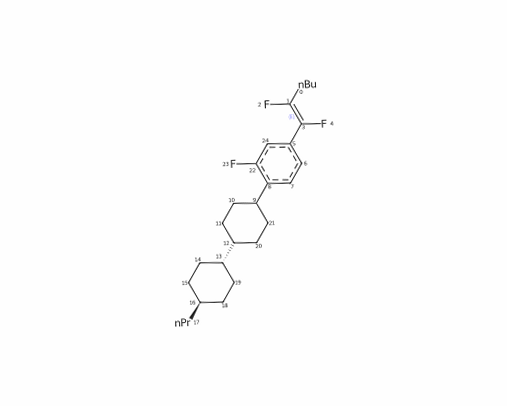 CCCC/C(F)=C(\F)c1ccc(C2CCC([C@H]3CC[C@H](CCC)CC3)CC2)c(F)c1